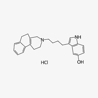 Cl.Oc1ccc2[nH]cc(CCCCN3CCC4=C(CCc5ccccc54)C3)c2c1